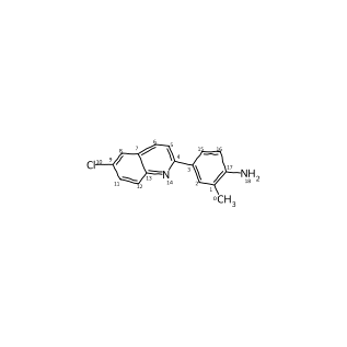 Cc1cc(-c2ccc3cc(Cl)ccc3n2)ccc1N